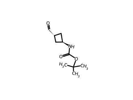 CC(C)(C)OC(=O)N[C@H]1C[C@H](C=O)C1